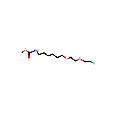 CSC(=O)NCCCCCCOCCOCCCl